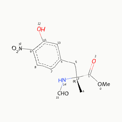 COC(=O)[C@@](C)(Cc1ccc([N+](=O)[O-])c(O)c1)NC=O